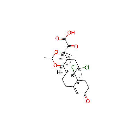 CC1O[C@@]2(C(=O)C(=O)O)CC[C@@]3(O1)[C@@H]1CCC4=CC(=O)CC[C@]4(C)[C@@]1(Cl)[C@@H](Cl)C[C@]23C